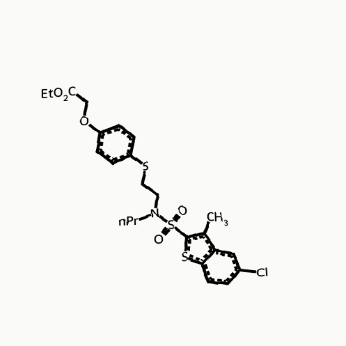 CCCN(CCSc1ccc(OCC(=O)OCC)cc1)S(=O)(=O)c1sc2ccc(Cl)cc2c1C